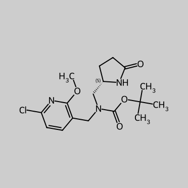 COc1nc(Cl)ccc1CN(C[C@@H]1CCC(=O)N1)C(=O)OC(C)(C)C